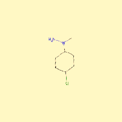 CN(N)C1CCC(Cl)CC1